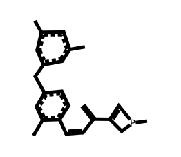 C=C(/C=C\c1ccc(Cc2cc(C)cc(C)c2)cc1C)C1=CP(C)C1